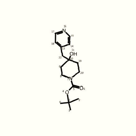 CC(C)(C)OC(=O)N1CCC(O)(Cc2ccncc2)CC1